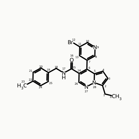 CCc1ccc2c(-c3cncc(Br)c3)c(C(=O)NCc3ccc(C)cc3)cnn12